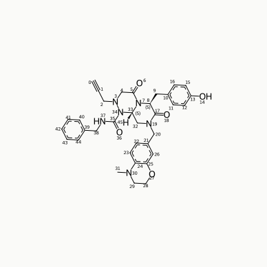 C#CCN1CC(=O)N2[C@@H](Cc3ccc(O)cc3)C(=O)N(Cc3ccc4c(c3)OCCN4C)C[C@@H]2N1C(=O)NCc1ccccc1